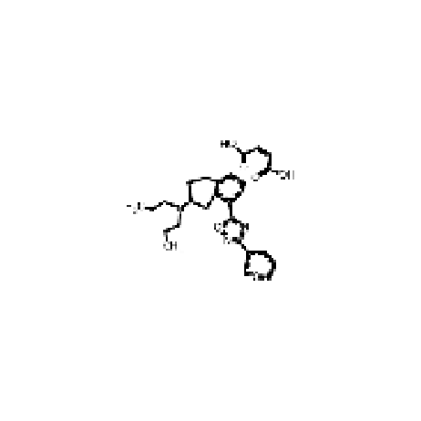 CCCN(CCC)C1CCc2cccc(-c3nc(-c4ccccc4)no3)c2C1.O=C(O)/C=C\C(=O)O